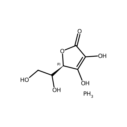 O=C1O[C@H](C(O)CO)C(O)=C1O.P